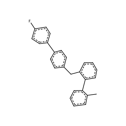 Cc1ccccc1-c1ccccc1Cc1ccc(-c2ccc(F)cc2)cc1